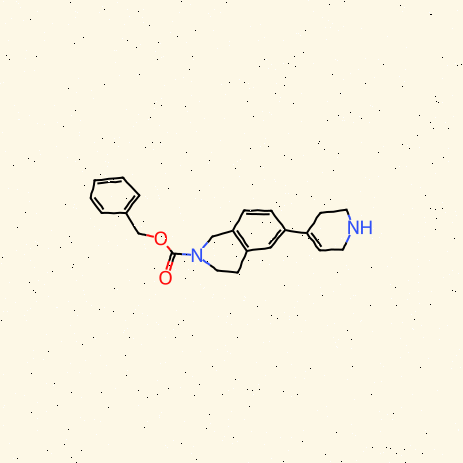 O=C(OCc1ccccc1)N1CCc2cc(C3=CCNCC3)ccc2C1